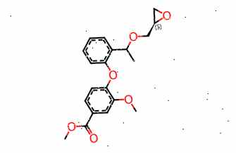 COC(=O)c1ccc(Oc2ccccc2C(C)OC[C@H]2CO2)c(OC)c1